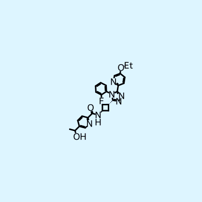 CCOc1ccc(-c2nnc([C@H]3C[C@H](NC(=O)c4ccc(C(C)O)cn4)C3)n2-c2ccccc2F)nc1